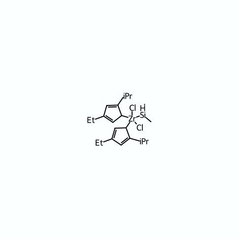 CCC1=C[CH]([Zr]([Cl])([Cl])([CH]2C=C(CC)C=C2C(C)C)[SiH](C)C)C(C(C)C)=C1